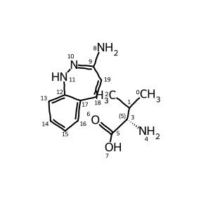 CC(C)[C@H](N)C(=O)O.NC1=NNc2ccccc2C=C1